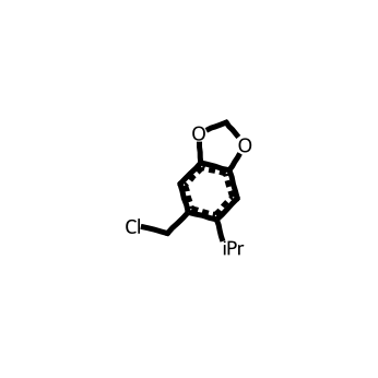 CC(C)c1cc2c(cc1CCl)OCO2